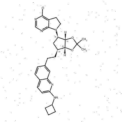 CC1(C)O[C@@H]2[C@@H](CCc3ccc4ccc(NC5CCC5)nc4c3)C[C@@H](N3CCc4c(Cl)ncnc43)[C@@H]2O1